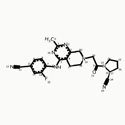 Cc1nc2c(c(Nc3ccc(C#N)cc3F)n1)CCN(CC(=O)N1CCC[C@H]1C#N)C2